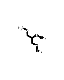 BOCC(COB)OB